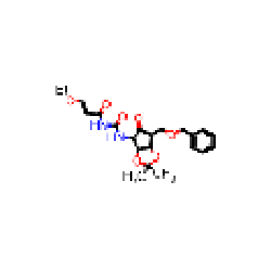 CCOC=CC(=O)NC(=O)NC1C(=O)C(COCc2ccccc2)C2OC(C)(C)OC12